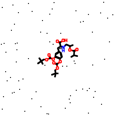 CC(CN[C@@H](Cc1ccc(OC(=O)OCC(C)(C)C)c(OC(=O)OCC(C)(C)C)c1)C(=O)O)OC(=O)C(C)C